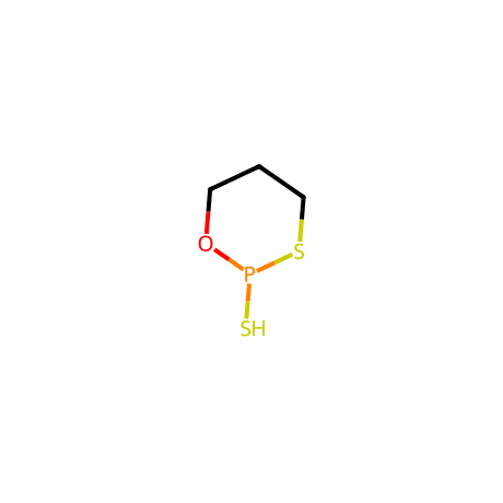 SP1OCCCS1